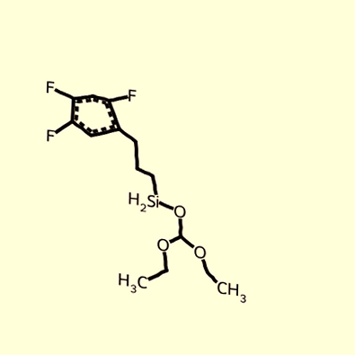 CCOC(OCC)O[SiH2]CCCc1cc(F)c(F)cc1F